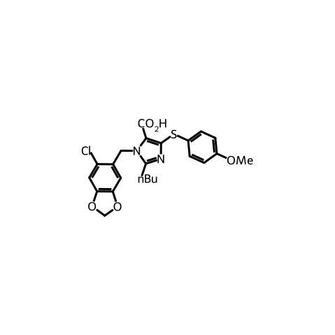 CCCCc1nc(Sc2ccc(OC)cc2)c(C(=O)O)n1Cc1cc2c(cc1Cl)OCO2